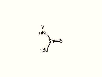 CCC[CH2][Sn](=[S])[CH2]CCC.[V]